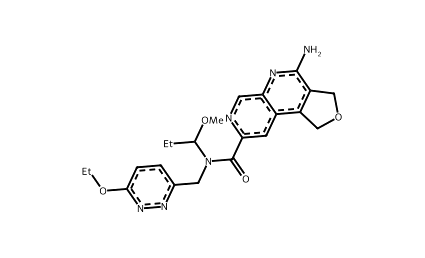 CCOc1ccc(CN(C(=O)c2cc3c4c(c(N)nc3cn2)COC4)C(CC)OC)nn1